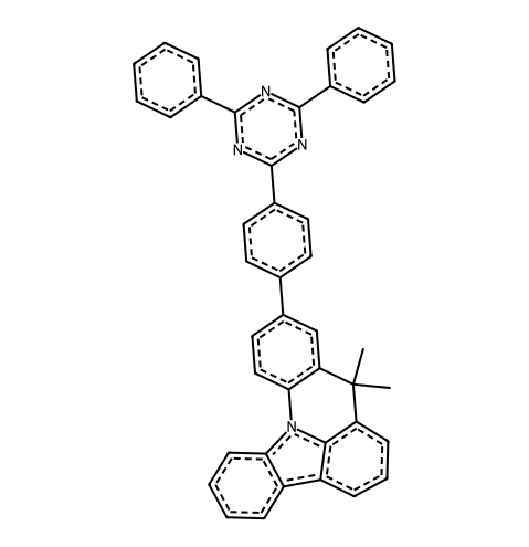 CC1(C)c2cc(-c3ccc(-c4nc(-c5ccccc5)nc(-c5ccccc5)n4)cc3)ccc2-n2c3ccccc3c3cccc1c32